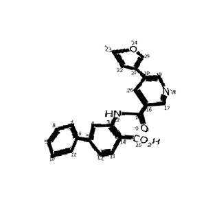 O=C(Nc1cc(-c2ccccc2)ccc1C(=O)O)c1cncc(-c2ccoc2)c1